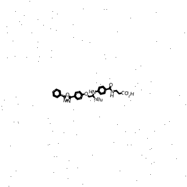 CCCCC(COc1ccc(-c2nnc(-c3ccccc3)o2)cc1)Nc1ccc(C(=O)NCCC(=O)O)cc1